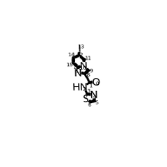 O=C(Nc1nccs1)c1cn2cc(I)ccc2n1